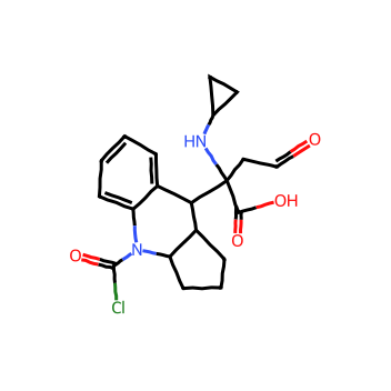 O=CCC(NC1CC1)(C(=O)O)C1c2ccccc2N(C(=O)Cl)C2CCCC21